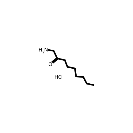 CCCCCCCC(=O)CN.Cl